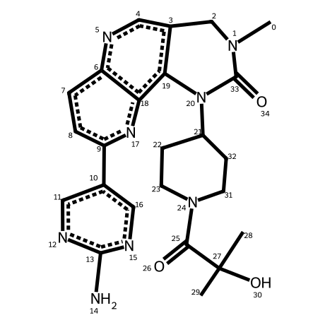 CN1Cc2cnc3ccc(-c4cnc(N)nc4)nc3c2N(C2CCN(C(=O)C(C)(C)O)CC2)C1=O